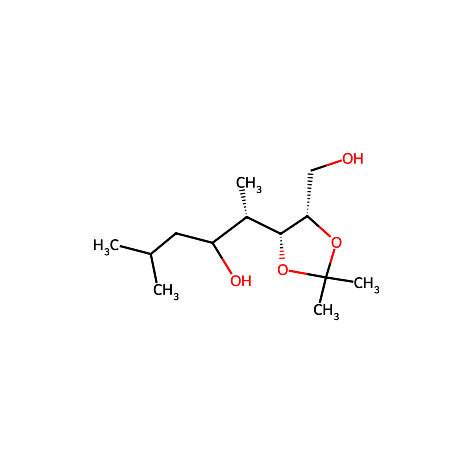 CC(C)CC(O)[C@H](C)[C@H]1OC(C)(C)O[C@H]1CO